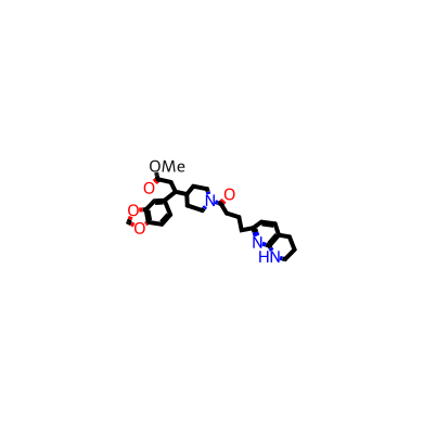 COC(=O)CC(c1ccc2c(c1)OCO2)C1CCN(C(=O)CCCc2ccc3c(n2)NCCC3)CC1